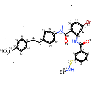 CCNSc1cccc(C(=O)Nc2cc(Br)ccc2C(=O)Nc2ccc(CCc3ccc(C(=O)O)cc3)cc2)c1